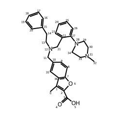 Cc1c(C(=O)O)oc2ccc(CN(CCc3ccccc3)Cc3ccccc3N3CCN(C)CC3)cc12